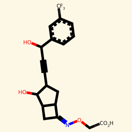 O=C(O)CO/N=C1/CC2C1CC(C#CC(O)c1cccc(C(F)(F)F)c1)C2O